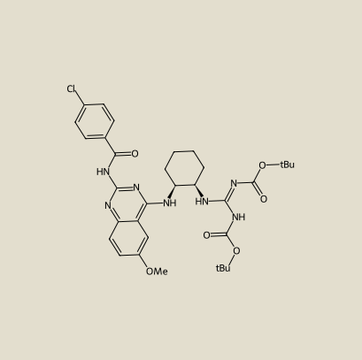 COc1ccc2nc(NC(=O)c3ccc(Cl)cc3)nc(N[C@H]3CCCC[C@H]3NC(=NC(=O)OC(C)(C)C)NC(=O)OC(C)(C)C)c2c1